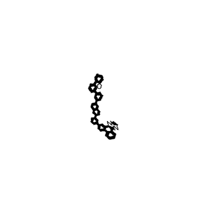 c1cc(-c2ccc3cc(-c4cccc(-c5cccc6c5oc5ccccc56)c4)ccc3c2)cc(-c2ccc3c4ccccc4c4nccnc4c3c2)c1